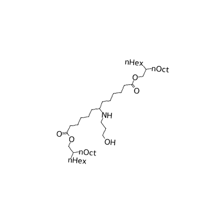 CCCCCCCCC(CCCCCC)COC(=O)CCCCCC(CCCCCC(=O)OCC(CCCCCC)CCCCCCCC)NCCCO